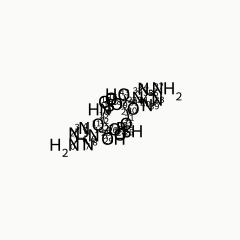 Nc1ncnc2c1ncn2C1OC2CNS(=O)(=O)OC3C(CO[P@](=O)(S)OC2C1O)OC(n1cnc2c(N)ncnc21)C3O